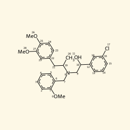 COc1ccccc1CN(CC(O)c1cccc(Cl)c1)C(C)Cc1ccc(OC)c(OC)c1